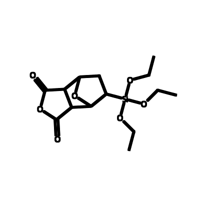 CCO[Si](OCC)(OCC)C1CC2OC1C1C(=O)OC(=O)C21